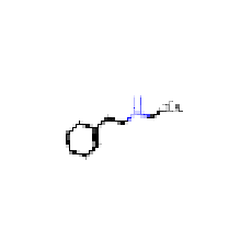 CC(C)(C)CNCCC1=CCCCC1